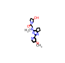 COc1ccnc(-c2nc3c(c(N(C)CC(=O)N4CCC(O)C4)n2)CCC3)c1